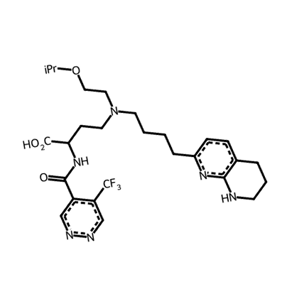 CC(C)OCCN(CCCCc1ccc2c(n1)NCCC2)CCC(NC(=O)c1cnncc1C(F)(F)F)C(=O)O